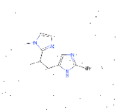 CC(C)c1ncc(CC(C)c2nccn2C)[nH]1